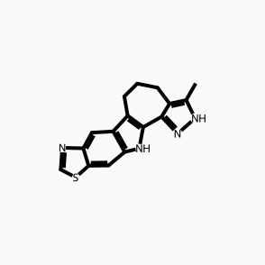 Cc1[nH]nc2c1CCCc1c-2[nH]c2cc3scnc3cc12